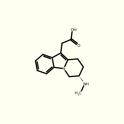 CN[C@H]1CCc2c(CC(=O)O)c3ccccc3n2C1